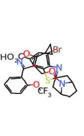 O=C(O)c1cc(Br)c2nc(N3C4CCC3CC(OCc3c(-c5ccccc5OC(F)(F)F)noc3C3CC3)C4)sc2c1